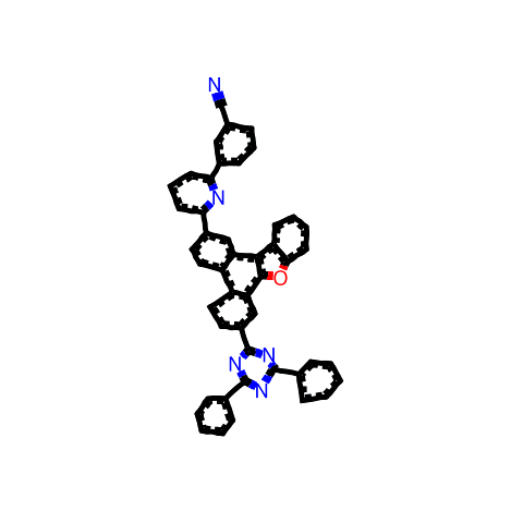 N#Cc1cccc(-c2cccc(-c3ccc4c5ccc(-c6nc(-c7ccccc7)nc(-c7ccccc7)n6)cc5c5oc6ccccc6c5c4c3)n2)c1